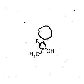 CCc1cc(F)c(C2CCCCCCCCCC2)cc1O